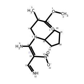 COC(=O)C(C)CN(/C(N)=C(/C=N)[N+](=O)[O-])C1CCCC1